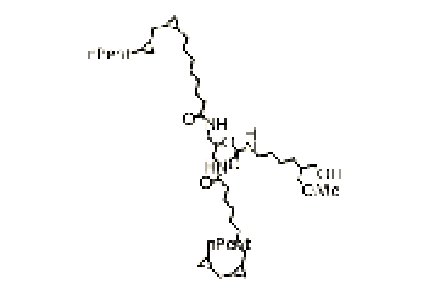 CCCCCC1CC1CC1CC1CCCCCCCC(=O)NCC(CNC(=O)CCCCCCCC1CC1CC1CC1CCCCC)OC(=O)NCCCCC(CO)COC